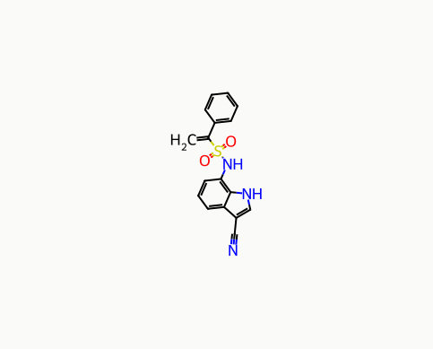 C=C(c1ccccc1)S(=O)(=O)Nc1cccc2c(C#N)c[nH]c12